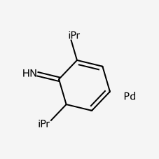 CC(C)C1=CC=CC(C(C)C)C1=N.[Pd]